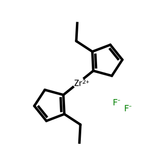 CCC1=[C]([Zr+2][C]2=C(CC)C=CC2)CC=C1.[F-].[F-]